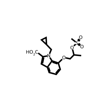 CC(COc1cccc2cc(C(=O)O)n(CC3CC3)c12)OS(C)(=O)=O